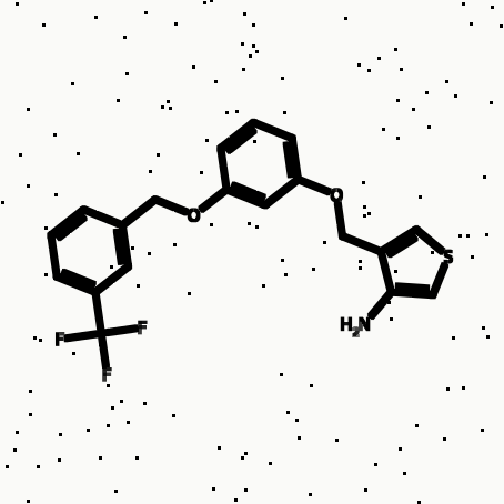 Nc1cscc1COc1cccc(OCc2cccc(C(F)(F)F)c2)c1